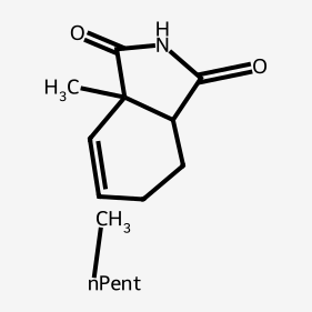 CC12C=CCCC1C(=O)NC2=O.CCCCCC